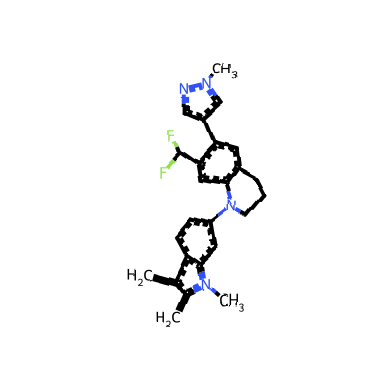 C=c1c(=C)n(C)c2cc(N3CCCc4cc(-c5cnn(C)c5)c(C(F)F)cc43)ccc12